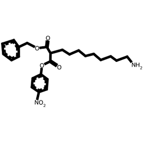 NCCCCCCCCCC(C(=O)OCc1ccccc1)C(=O)Oc1ccc([N+](=O)[O-])cc1